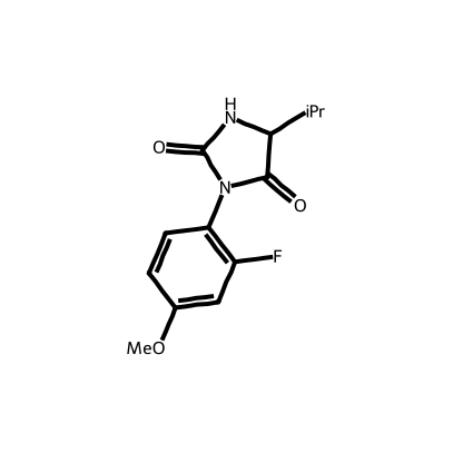 COc1ccc(N2C(=O)NC(C(C)C)C2=O)c(F)c1